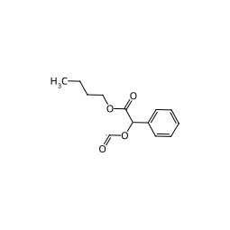 CCCCOC(=O)C(O[C]=O)c1ccccc1